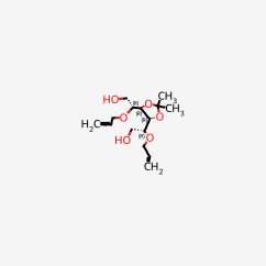 C=CCO[C@H](CO)[C@H]1OC(C)(C)O[C@@H]1[C@@H](CO)OCC=C